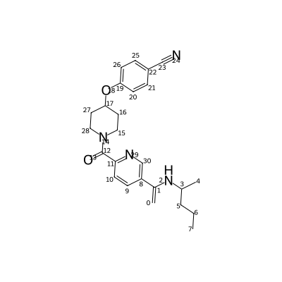 C=C(NC(C)CCC)c1ccc(C(=O)N2CCC(Oc3ccc(C#N)cc3)CC2)nc1